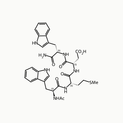 CSCC[C@H](NC(=O)[C@H](Cc1c[nH]c2ccccc12)NC(C)=O)C(=O)N[C@@H](CC(=O)O)C(=O)N[C@@H](Cc1c[nH]c2ccccc12)C(N)=O